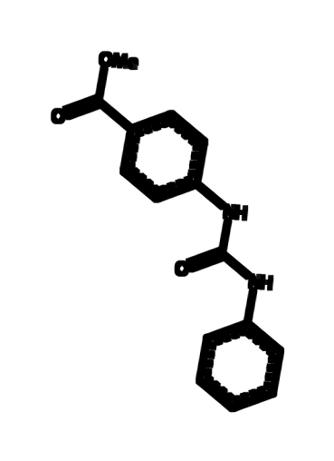 COC(=O)c1ccc(NC(=O)Nc2ccccc2)cc1